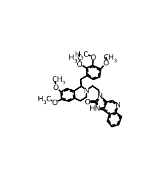 COc1cc2c(cc1OC)C(Cc1ccc(OC)c(OC)c1OC)N(CCn1c(=O)[nH]c3c4ccccc4ncc31)CC2